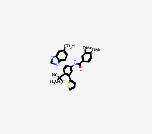 COc1ccc(C(=O)Nc2ccc(C(C)(C)C#N)c(-c3cccs3)c2)cc1OC.O=C(O)c1ccc2[nH]cnc2c1